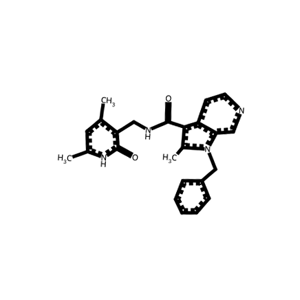 Cc1cc(C)c(CNC(=O)c2c(C)n(Cc3ccccc3)c3cnccc23)c(=O)[nH]1